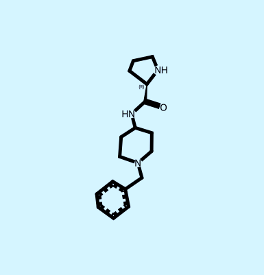 O=C(NC1CCN(Cc2ccccc2)CC1)[C@H]1CCCN1